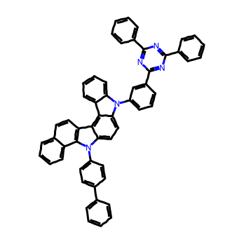 c1ccc(-c2ccc(-n3c4ccc5c(c6ccccc6n5-c5cccc(-c6nc(-c7ccccc7)nc(-c7ccccc7)n6)c5)c4c4ccc5ccccc5c43)cc2)cc1